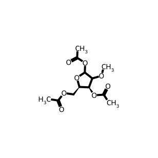 COC1C(OC(C)=O)O[C@H](COC(C)=O)[C@@H]1OC(C)=O